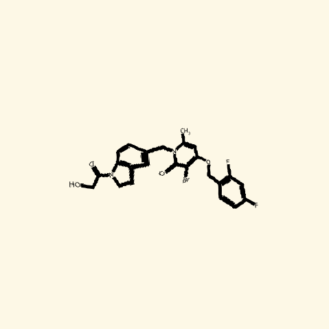 Cc1cc(OCc2ccc(F)cc2F)c(Br)c(=O)n1Cc1ccc2c(c1)CCN2C(=O)CO